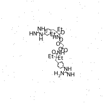 CCC(CC)(Cc1ccc(NC(=N)N)cc1)C(=O)NOC(=O)CC(=O)ONC(=O)C(CC)(CC)Cc1ccc(NC(=N)N)cc1